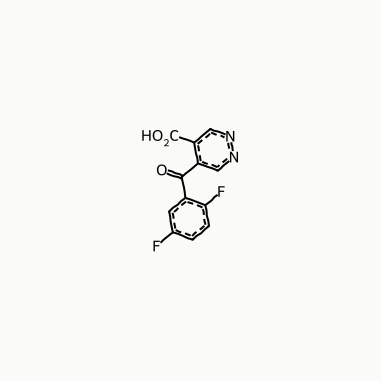 O=C(O)c1cnncc1C(=O)c1cc(F)ccc1F